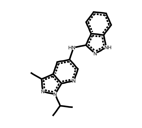 Cc1nn(C(C)C)c2ncc(Nc3n[nH]c4ccccc34)cc12